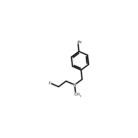 CC(C)c1ccc(CN(C)CCF)cc1